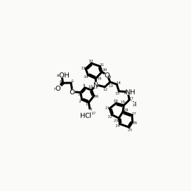 Cc1cc(OCC(=O)O)cc(N2CC(CCN[C@H](C)c3cccc4ccccc34)Oc3ccccc32)c1.Cl